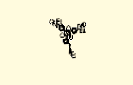 CCC(N=C=O)c1ccc(-n2c(=O)n(-c3ccc(C(CC)N=C=O)cc3)c(=O)n(-c3cccc(CCCN=C=O)c3)c2=O)cc1